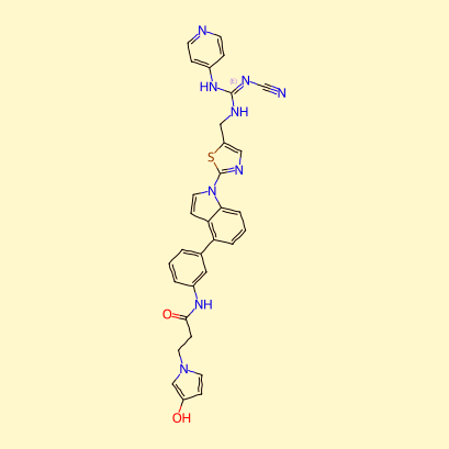 N#C/N=C(\NCc1cnc(-n2ccc3c(-c4cccc(NC(=O)CCn5ccc(O)c5)c4)cccc32)s1)Nc1ccncc1